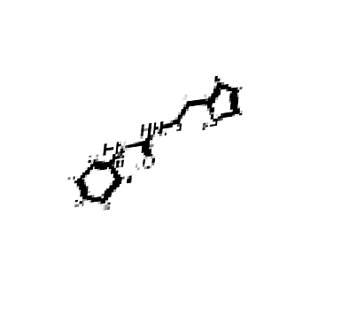 O=C(NCCc1cccs1)Nc1ccccc1